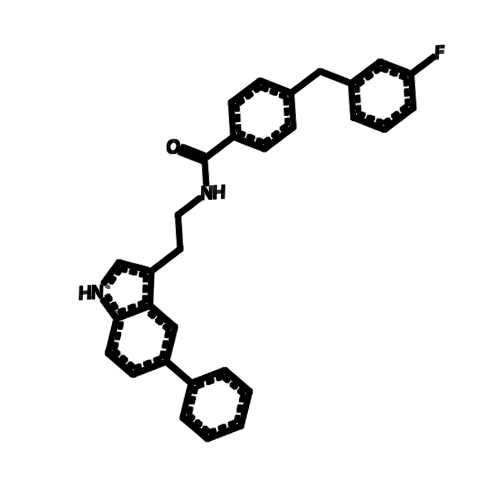 O=C(NCCc1c[nH]c2ccc(-c3ccccc3)cc12)c1ccc(Cc2cccc(F)c2)cc1